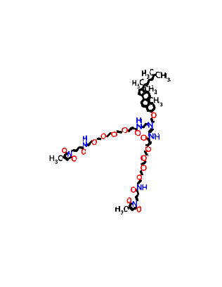 CC1=CC(=O)N(CCCC(=O)NCCOCCOCCOCCOCCC(=O)NCCN(CCNC(=O)CCOCCOCCOCCOCCNC(=O)CCCN2C(=O)C=C(C)C2=O)CCOC2CCC3(C)C(=CCC4C3CCC3(C)C(C(C)CCCC(C)C)CCC43)C2)C1=O